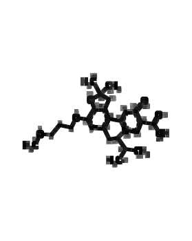 COCCCOc1cc2c(c3c1OC(C)(C)C3)-c1cc(=O)c(C(=O)O)cn1C(C(C)C)C2